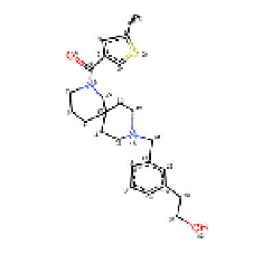 CC(C)c1cc(C(=O)N2CCCC3(CCN(Cc4cccc(CCO)c4)CC3)C2)cs1